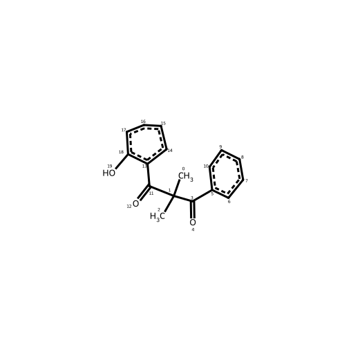 CC(C)(C(=O)c1ccccc1)C(=O)c1ccccc1O